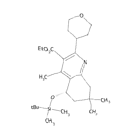 CCOC(=O)c1c(C2CCOCC2)nc2c(c1C)[C@@H](O[Si](C)(C)C(C)(C)C)CC(C)(C)C2